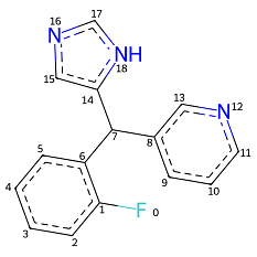 Fc1ccccc1C(c1cccnc1)c1cnc[nH]1